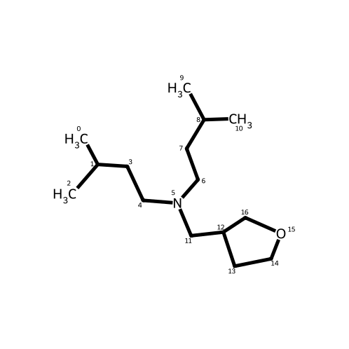 CC(C)CCN(CCC(C)C)CC1CCOC1